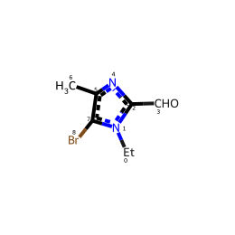 CCn1c(C=O)nc(C)c1Br